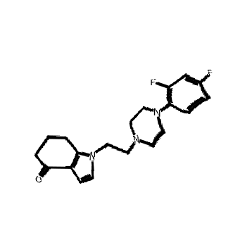 O=C1CCCc2c1ccn2CCN1CCN(c2ccc(F)cc2F)CC1